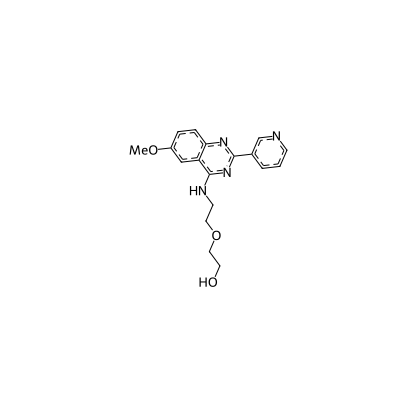 COc1ccc2nc(-c3cccnc3)nc(NCCOCCO)c2c1